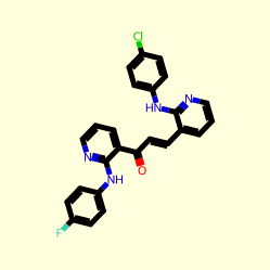 O=C(C=Cc1cccnc1Nc1ccc(Cl)cc1)c1cccnc1Nc1ccc(F)cc1